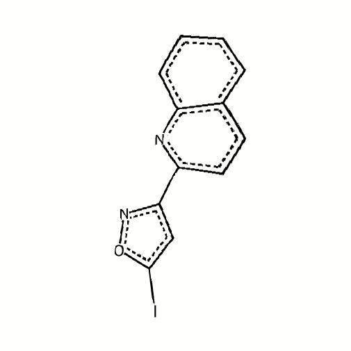 Ic1cc(-c2ccc3ccccc3n2)no1